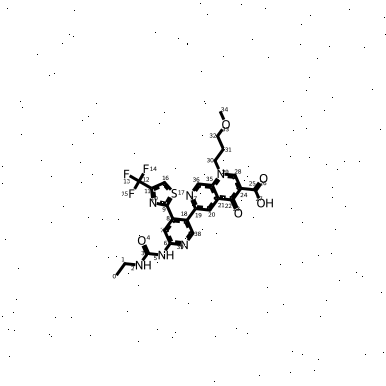 CCNC(=O)Nc1cc(-c2nc(C(F)(F)F)cs2)c(-c2cc3c(=O)c(C(=O)O)cn(CCCOC)c3cn2)cn1